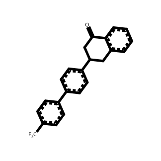 O=C1CC(c2ccc(-c3ccc(C(F)(F)F)cc3)cc2)Cc2ccccc21